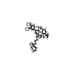 CN(Cc1ccc(C(F)(F)F)c(F)c1)C1CN(C(=O)CCCCC(=O)c2cccs2)CC1c1ccc(Cl)c(Cl)c1